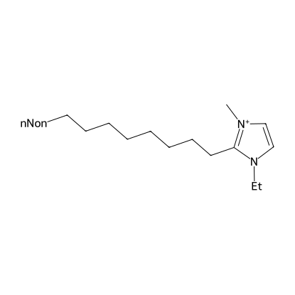 CCCCCCCCCCCCCCCCCc1n(CC)cc[n+]1C